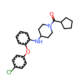 O=C(C1CCCC1)N1CCC(Nc2ccccc2Oc2ccc(Cl)cc2)CC1